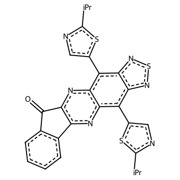 CC(C)c1ncc(-c2c3nsnc3c(-c3cnc(C(C)C)s3)c3nc4c(nc23)C(=O)c2ccccc2-4)s1